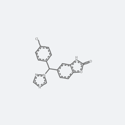 O=c1[nH]c2cc(C(c3ccc(Cl)cc3)n3cncn3)ccc2o1